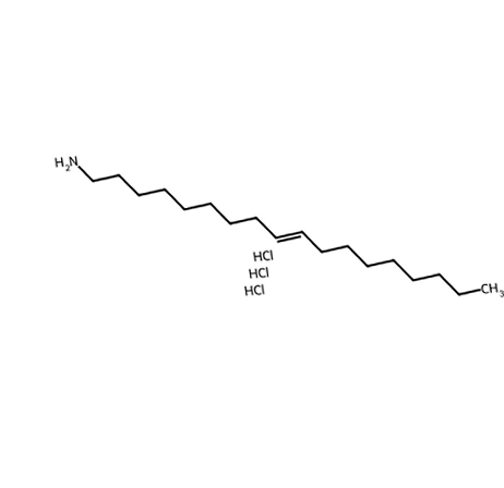 CCCCCCCCC=CCCCCCCCCN.Cl.Cl.Cl